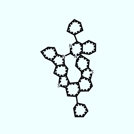 c1ccc(-c2nc(-n3c4ccccc4c4cc5sc6cc(-c7ccccc7)c7ccc8sc9ccccc9c8c7c6c5cc43)nc3ccccc23)cc1